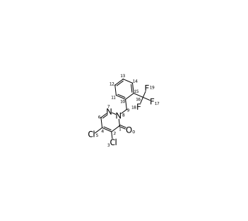 O=c1c(Cl)c(Cl)cnn1Cc1ccccc1C(F)(F)F